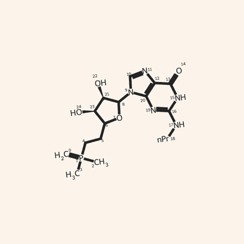 C=P(C)(C)CCC1OC(n2cnc3c(=O)[nH]c(NCCC)nc32)[C@H](O)[C@@H]1O